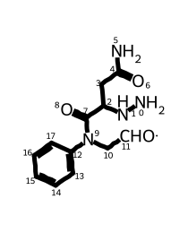 NNC(CC(N)=O)C(=O)N(C[C]=O)c1ccccc1